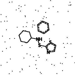 c1ccccc1.c1csc(SNC2CCCCC2)n1